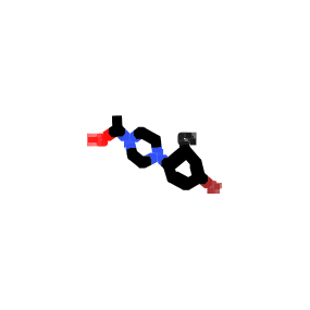 CC(O)N1CCN(c2ccc(Br)cc2C#N)CC1